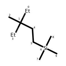 CCC(C)(CC)CC[Si](C)(C)C